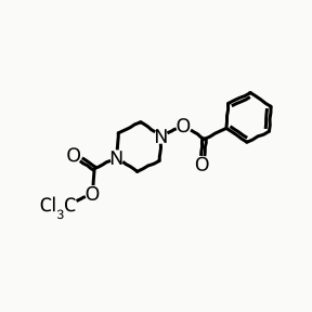 O=C(ON1CCN(C(=O)OC(Cl)(Cl)Cl)CC1)c1ccccc1